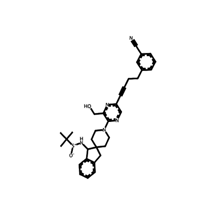 CC(C)(C)[S+]([O-])NC1c2ccccc2CC12CCN(c1ncc(C#CCCc3cccc(C#N)c3)nc1CO)CC2